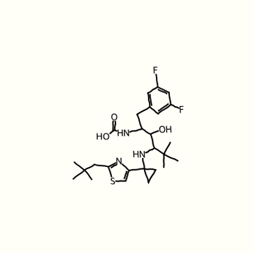 CC(C)(C)Cc1nc(C2(NC(C(O)C(Cc3cc(F)cc(F)c3)NC(=O)O)C(C)(C)C)CC2)cs1